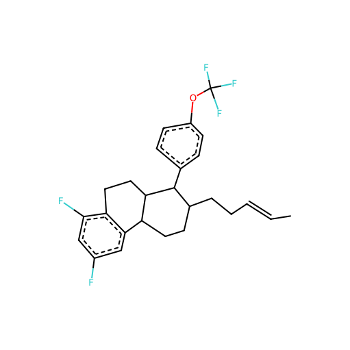 CC=CCCC1CCC2c3cc(F)cc(F)c3CCC2C1c1ccc(OC(F)(F)F)cc1